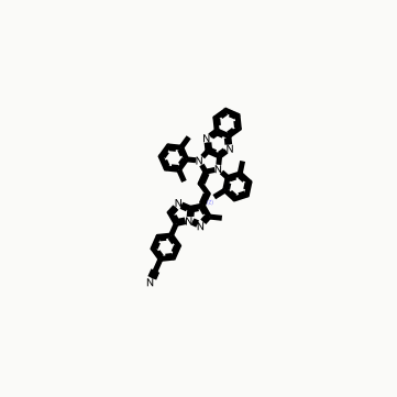 Cc1cccc(C)c1N1C(=C/C=c2/c(C)nn3c(-c4ccc(C#N)cc4)cnc23)N(c2c(C)cccc2C)c2nc3ccccc3nc21